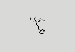 C=CC(C=C)CCCc1ccccc1